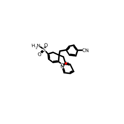 CCOC1=CC=C(S(N)(=O)=O)CC1(Cc1ccc(C#N)cc1)Cc1ccccn1